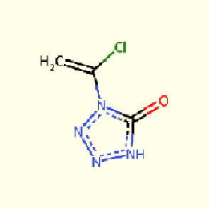 C=C(Cl)n1nn[nH]c1=O